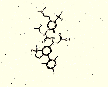 Cc1cc(F)cc(C)c1-c1cc([C@H](CC(=O)O)NC(=O)[C@H](CC(C)C)n2cc(CCN(C)C)c(C(F)(F)F)cc2=O)cc2c1CCC2(F)F